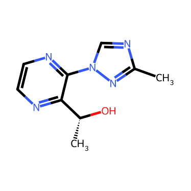 Cc1ncn(-c2nccnc2[C@@H](C)O)n1